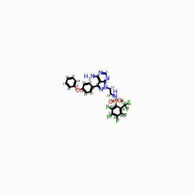 Nc1ncnc2c1c(-c1ccc(Oc3ccccc3)cc1)nn2CCNS(=O)(=O)c1c(F)c(F)c(F)c(F)c1C(F)(F)F